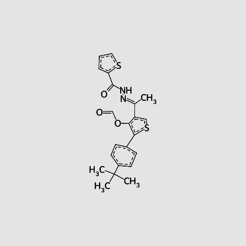 CC(=NNC(=O)c1cccs1)c1csc(-c2ccc(C(C)(C)C)cc2)c1OC=O